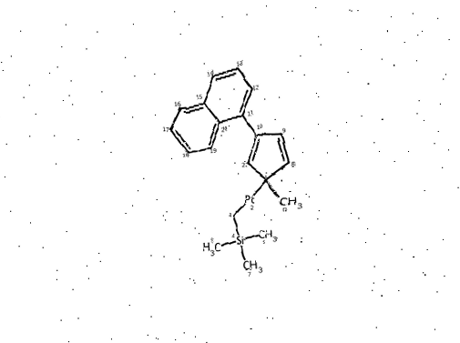 C[C]1([Pt][CH2][Si](C)(C)C)C=CC(c2cccc3ccccc23)=C1